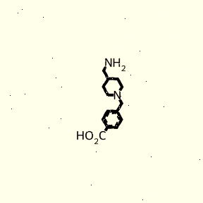 NCC1CCN(Cc2ccc(C(=O)O)cc2)CC1